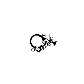 C[C@@H]1CCC[C@H](C)/C=C\[C@H]2C[C@@]2(C(=O)NS(=O)(=O)C2CC2)NC(=O)[C@@H]2CCCN2C(=O)C1